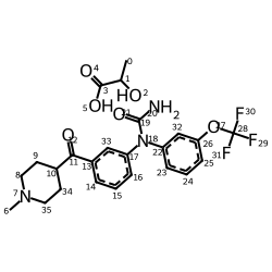 CC(O)C(=O)O.CN1CCC(C(=O)c2cccc(N(C(N)=O)c3cccc(OC(F)(F)F)c3)c2)CC1